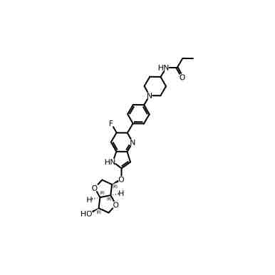 CCC(=O)NC1CCN(c2ccc(C3N=c4cc(O[C@@H]5CO[C@H]6[C@@H]5OC[C@H]6O)[nH]c4=CC3F)cc2)CC1